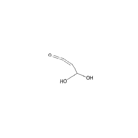 O=C=CC(O)O